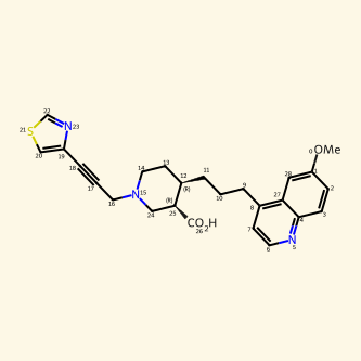 COc1ccc2nccc(CCC[C@@H]3CCN(CC#Cc4cscn4)C[C@@H]3C(=O)O)c2c1